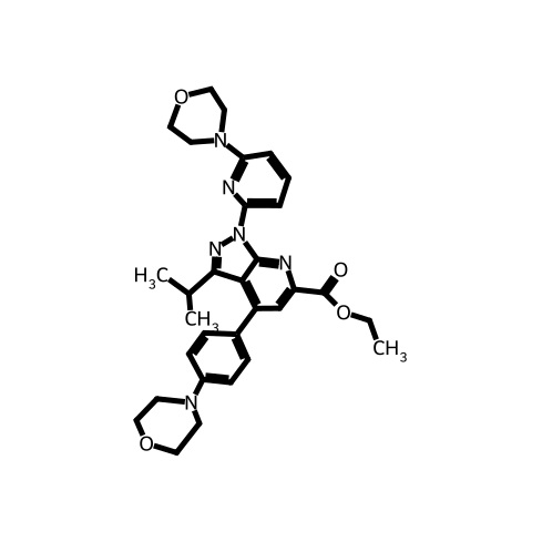 CCOC(=O)c1cc(-c2ccc(N3CCOCC3)cc2)c2c(C(C)C)nn(-c3cccc(N4CCOCC4)n3)c2n1